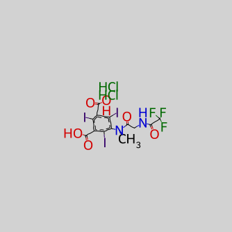 CN(C(=O)CNC(=O)C(F)(F)F)c1c(I)c(C(=O)O)c(I)c(C(=O)O)c1I.Cl.Cl